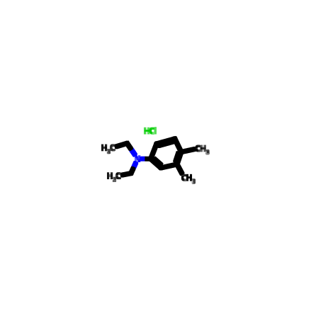 CCN(CC)c1ccc(C)c(C)c1.Cl